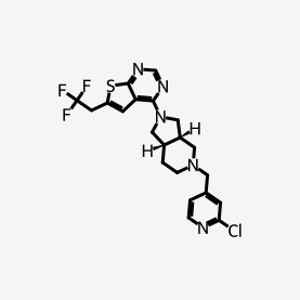 FC(F)(F)Cc1cc2c(N3C[C@H]4CCN(Cc5ccnc(Cl)c5)C[C@H]4C3)ncnc2s1